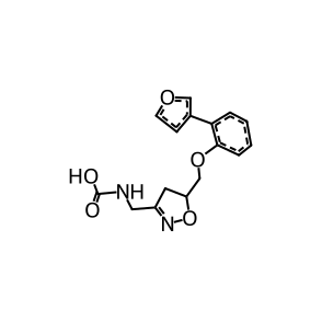 O=C(O)NCC1=NOC(COc2ccccc2-c2ccoc2)C1